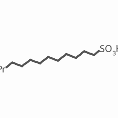 CC(C)CCCCCCCCCCS(=O)(=O)O